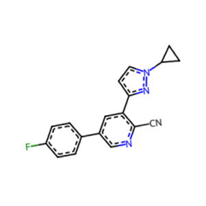 N#Cc1ncc(-c2ccc(F)cc2)cc1-c1ccn(C2CC2)n1